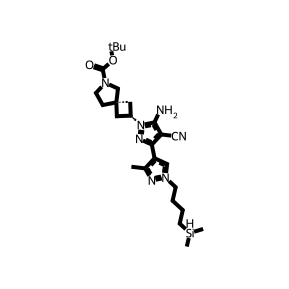 Cc1nn(CCCC[SiH](C)C)cc1-c1nn([C@H]2C[C@@]3(CCN(C(=O)OC(C)(C)C)C3)C2)c(N)c1C#N